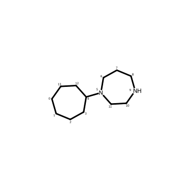 C1CCCC(N2CCCNCC2)CC1